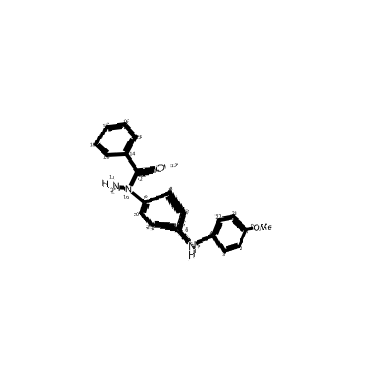 COc1ccc(Nc2ccc(N(N)C(=O)c3ccccc3)cc2)cc1